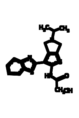 CC(=O)Nc1sc2c(c1-c1nc3ccccc3s1)CN(C(C)C)C2.Cl